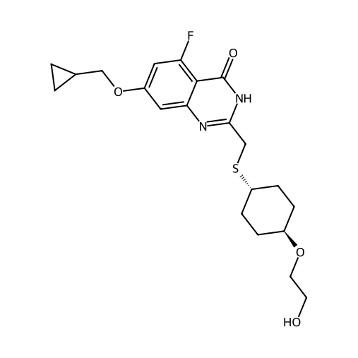 O=c1[nH]c(CS[C@H]2CC[C@H](OCCO)CC2)nc2cc(OCC3CC3)cc(F)c12